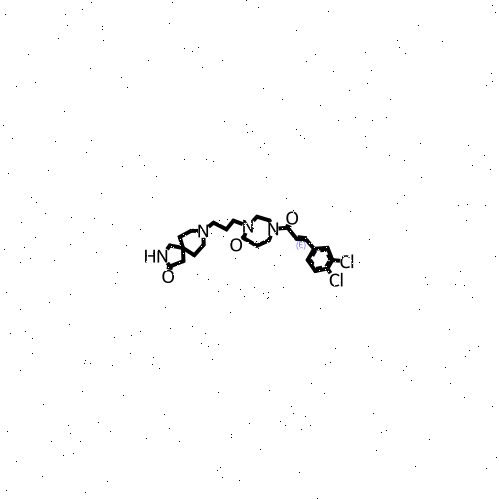 O=C1CC2(CCN(CCCN3CCN(C(=O)/C=C/c4ccc(Cl)c(Cl)c4)CCC3=O)CC2)CN1